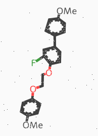 COc1ccc(OCCOc2ccc(-c3ccc(OC)cc3)cc2F)cc1